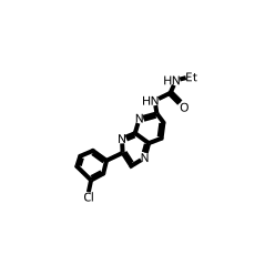 CCNC(=O)Nc1ccc2ncc(-c3cccc(Cl)c3)nc2n1